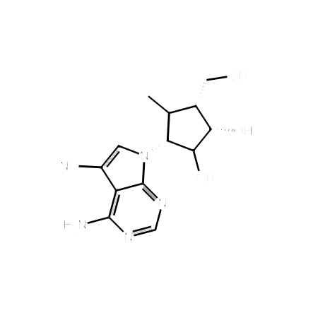 CC1[C@@H](n2cc(C#N)c3c(N)ncnc32)C(O)[C@@H](O)[C@H]1CO